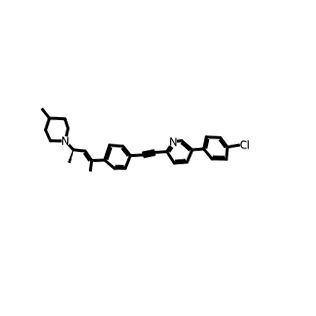 C/C(=C\[C@@H](C)N1CCC(C)CC1)c1ccc(C#Cc2ccc(-c3ccc(Cl)cc3)cn2)cc1